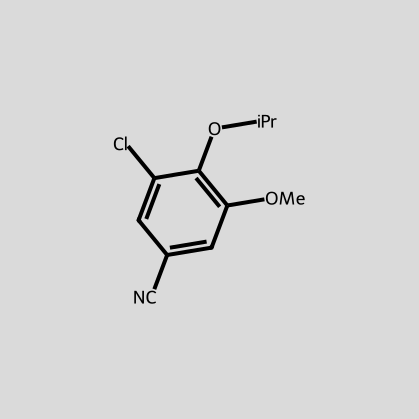 COc1cc(C#N)cc(Cl)c1OC(C)C